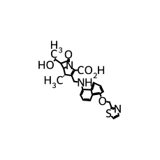 C[C@@H](O)C1C(=O)N2C(C(=O)O)=C(CNc3cccc4c(OCc5nccs5)cccc34)[C@H](C)C12